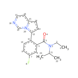 CCN(C(=O)c1cc(F)ccc1-c1ccc2ccncn12)C(C)C